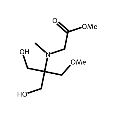 COCC(CO)(CO)N(C)CC(=O)OC